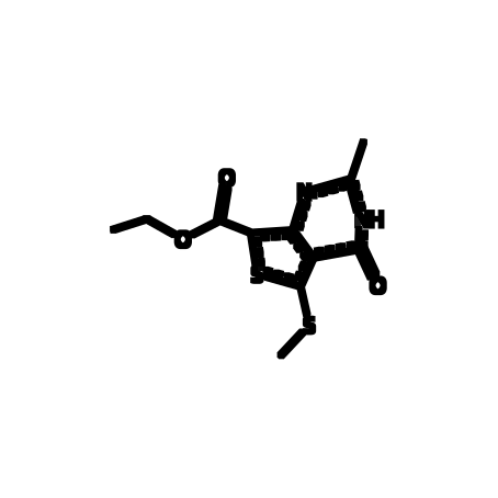 CCOC(=O)c1sc(SC)c2c(=O)[nH]c(C)nc12